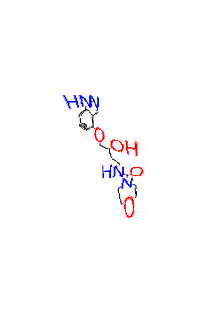 O=C(NCCC(O)COc1cccc2[nH]ncc12)N1CCOCC1